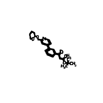 CC(C)(C)OC(=O)CC(=O)c1cccc(-c2ccnc(COC3CCCCO3)c2)c1